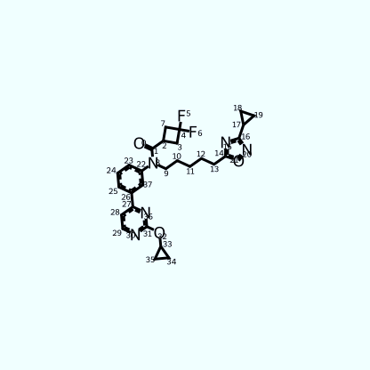 O=C(C1CC(F)(F)C1)N(CCCCCc1nc(C2CC2)no1)c1cccc(-c2ccnc(OC3CC3)n2)c1